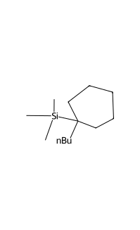 CCCCC1([Si](C)(C)C)CCCCC1